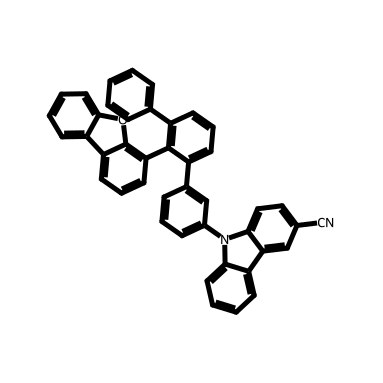 N#Cc1ccc2c(c1)c1ccccc1n2-c1cccc(-c2cccc(-c3ccccc3)c2-c2cccc3c2oc2ccccc23)c1